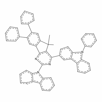 CC1(C)c2cc(-c3ccccc3)c(-c3ccccc3)cc2-c2nc(-n3c4ccccc4c4ccccc43)nc(-c3ccc4c(c3)c3ccccc3n4-c3ccccc3)c21